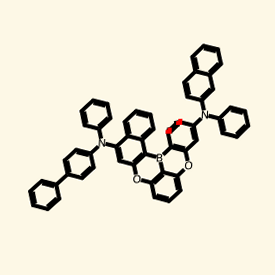 c1ccc(-c2ccc(N(c3ccccc3)c3cc4c(c5ccccc35)B3c5c(cccc5Oc5cc(N(c6ccccc6)c6ccc7ccccc7c6)c6ccccc6c53)O4)cc2)cc1